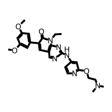 CCn1c(=O)c(-c2cc(OC)cc(OC)c2)cc2cnc(Nc3ccnc(OCCN(C)C)c3)nc21